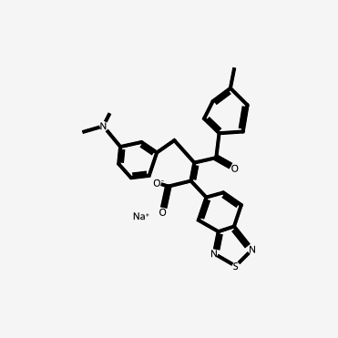 Cc1ccc(C(=O)C(Cc2cccc(N(C)C)c2)=C(C(=O)[O-])c2ccc3nsnc3c2)cc1.[Na+]